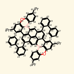 CC(C)c1ccc2c(c1)Oc1cc(C(C)C)cc3c1B2c1cc2c(-c4ccccc4-c4ccccc4)cc4c5c(cc6c(-c7ccccc7-c7ccccc7)cc-3c1c6c25)B1c2ccc(C(C)C)cc2Oc2cc(C(C)C)cc-4c21